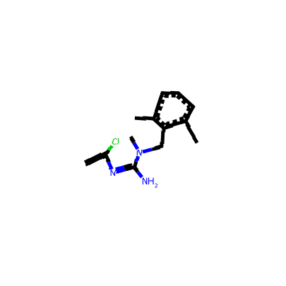 C=C(Cl)/N=C(/N)N(C)Cc1c(C)cccc1C